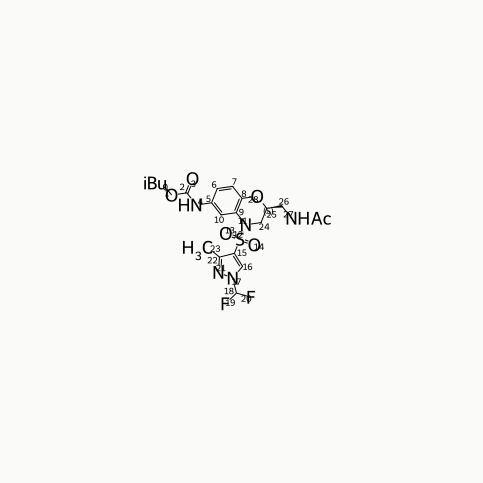 CCC(C)OC(=O)Nc1ccc2c(c1)N(S(=O)(=O)c1cn(C(F)F)nc1C)C[C@H](CNC(C)=O)O2